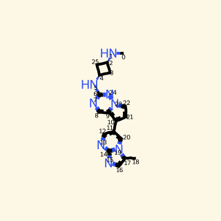 CN[C@H]1C[C@@H](Nc2ncc3c(-c4cnc5ncc(C)n5c4)ccn3n2)C1